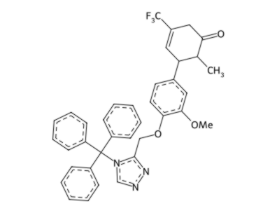 COc1cc(C2C=C(C(F)(F)F)CC(=O)C2C)ccc1OCc1nncn1C(c1ccccc1)(c1ccccc1)c1ccccc1